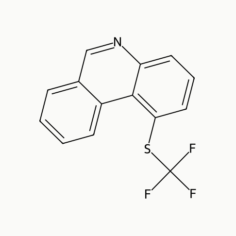 FC(F)(F)Sc1cccc2ncc3ccccc3c12